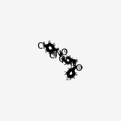 O=C(NCc1ccc(Cl)cc1Cl)ON1CC2CN(C(=O)c3ccccc3)C2C1